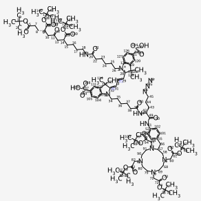 CC(C)(C)OC(=O)CC[C@@H](CC(=O)CC(CCCCNC(=O)CCCCC[N+]1=C(/C=C/C=C2/N(CCCCCC(=O)N[C@@H](CCCN=[N+]=[N-])C(=O)Nc3ccc(CC4CN(CC(=O)OC(C)(C)C)CCN(CC(=O)OC(C)(C)C)CCN(CC(=O)OC(C)(C)C)CCN4CC(=O)OC(C)(C)C)cc3)c3ccc(S(=O)(=O)O)cc3C2(C)C)C(C)(C)c2cc(S(=O)(=O)O)ccc21)C(=O)OC(C)(C)C)C(=O)OC(C)(C)C